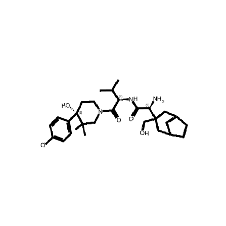 CC(C)[C@@H](NC(=O)[C@@H](N)C1(CO)CC2CCC(C2)C1)C(=O)N1CC[C@](O)(c2ccc(Cl)cc2)C(C)(C)C1